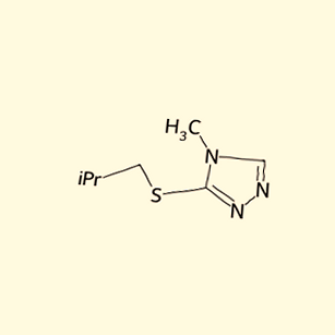 CC(C)CSc1nncn1C